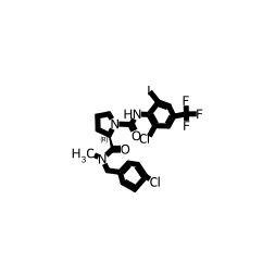 CN(Cc1ccc(Cl)cc1)C(=O)[C@H]1CCCN1C(=O)Nc1c(Cl)cc(C(F)(F)F)cc1I